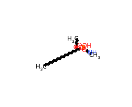 CCCCCCCCCCCCCCCCCC(COP(O)OCCNC)OC(=O)CCC